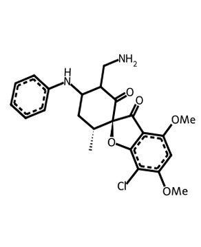 COc1cc(OC)c2c(c1Cl)O[C@]1(C2=O)C(=O)C(CN)C(Nc2ccccc2)C[C@H]1C